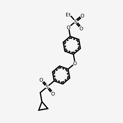 CCS(=O)(=O)Oc1ccc(Oc2ccc(S(=O)(=O)CC3CC3)cc2)cc1